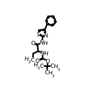 CCC(NC(=O)OC(C)(C)C)C(=O)Nc1nc(-c2ccccc2)cs1